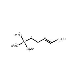 CO[Si](CCC=CC(=O)O)(OC)OC